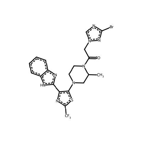 CC1CN(c2sc(C(F)(F)F)nc2-c2nc3ccccc3[nH]2)CCN1C(=O)Cn1cnc(Br)n1